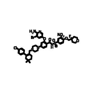 CC1(C)CCC(CN2CCN(c3ccc(C(=O)NS(=O)(=O)c4ccc(OCC5(F)CCOCC5)c([N+](=O)[O-])c4)c(Oc4cnc(N)c(Br)c4)c3)CC2)=C(c2ccc(Cl)cc2)C1